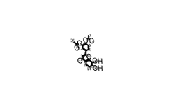 CC(=O)Oc1ccc(-c2cc(=O)c3ccc(O)c(O)c3o2)cc1OC(C)=O